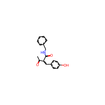 CC(=O)C(=Cc1ccc(O)cc1)C(=O)NCc1ccccc1